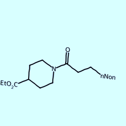 CCCCCCCCCCCC(=O)N1CCC(C(=O)OCC)CC1